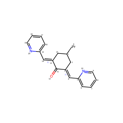 CC(C)C1C/C(=C\c2ccccn2)C(=O)/C(=C/c2ccccn2)C1